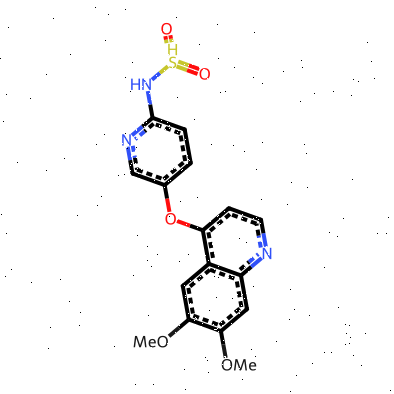 COc1cc2nccc(Oc3ccc(N[SH](=O)=O)nc3)c2cc1OC